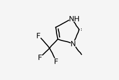 CN1[C]NC=C1C(F)(F)F